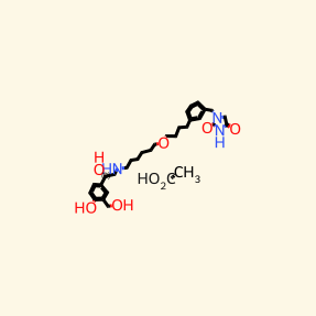 CC(=O)O.O=C1CN(Cc2cccc(CCCCOCCCCCCNC[C@H](O)c3ccc(O)c(CO)c3)c2)C(=O)N1